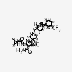 C=C(/C=C\C(=C/C)CN1CCC(CC#N)(n2cc(C(N)=O)c(NC(=O)C3CC3)n2)CC1)c1cccc(C(F)(F)F)c1